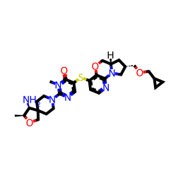 C[C@@H]1OCC2(CCN(c3ncc(Sc4ccnc5c4OC[C@@H]4C[C@H](COCC6CC6)CN54)c(=O)n3C)CC2)[C@@H]1N